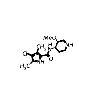 CO[C@H]1CNCC[C@H]1NC(=O)c1[nH]c(C)c(Cl)c1C